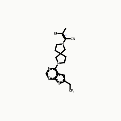 CC/C(C)=C(/C#N)N1CCC2(CCN(c3ncnc4sc(CC(F)(F)F)cc34)C2)C1